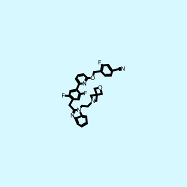 N#Cc1ccc(COc2cccc(-c3cc(F)c(Cc4nc5ccccc5n4CCN4CC5(COC5)C4)cc3F)n2)c(F)c1